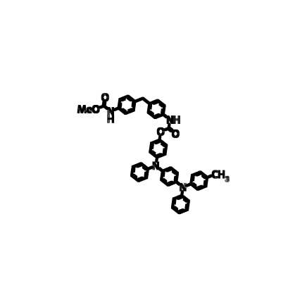 COC(=O)Nc1ccc(Cc2ccc(NC(=O)Oc3ccc(N(c4ccccc4)c4ccc(N(c5ccccc5)c5ccc(C)cc5)cc4)cc3)cc2)cc1